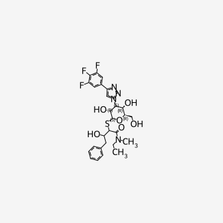 CCN(C)C(=O)C(S[C@@H]1O[C@H](CO)[C@H](O)[C@H](n2cc(-c3cc(F)c(F)c(F)c3)nn2)[C@H]1O)C(O)Cc1ccccc1